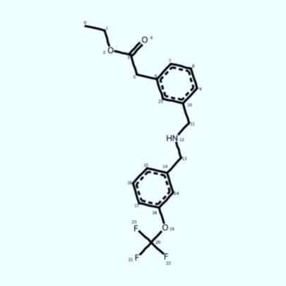 CCOC(=O)Cc1cccc(CNCc2cccc(OC(F)(F)F)c2)c1